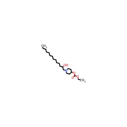 CCCCCCCCCCCCC(O)CN1CCC(OC(=O)OCC)CC1